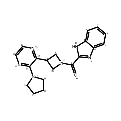 O=C(c1nc2ccccc2[nH]1)N1CC(c2nccnc2N2CCCC2)C1